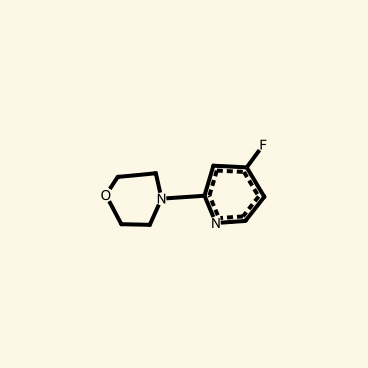 Fc1ccnc(N2CCOCC2)c1